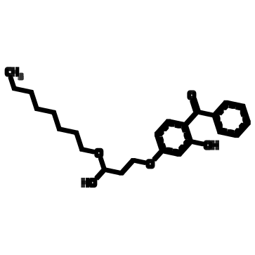 CCCCCCCCOC(O)CCOc1ccc(C(=O)c2ccccc2)c(O)c1